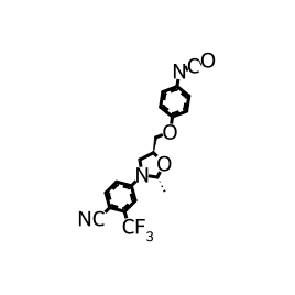 C[C@H]1O[C@H](COc2ccc(N=C=O)cc2)CN1c1ccc(C#N)c(C(F)(F)F)c1